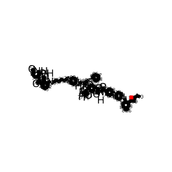 CCC12CC(C3=C(CN4CCN(c5ccc(C(=O)NS(=O)(=O)c6ccc(N[C@H](CCN7CCN(CCCCCCNc8cccc9c8C(=O)N(C8CCC(=O)NC8=O)C9=O)CC7)CSc7ccccc7)c(S(=O)(=O)C(F)(F)F)c6)cc5)CC4)CCC(C)(C)C3)(C1)C2